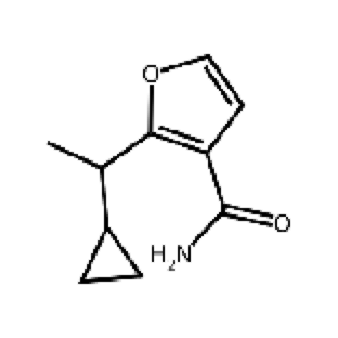 CC(c1occc1C(N)=O)C1CC1